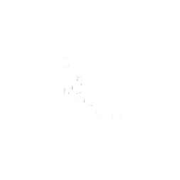 Cc1nc(-c2ccc(-c3ccc(C4(C=O)CC4)cc3)cc2)c(NC(=O)OCc2ccccc2)o1